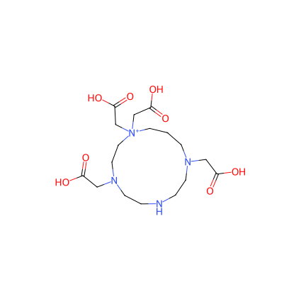 O=C(O)CN1CCC[N+](CC(=O)O)(CC(=O)O)CCN(CC(=O)O)CCNCC1